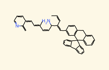 C=c1nccc/c1=C/C=C(C)/C=C\C(N)C(/C=C\C)=C/c1ccc2c(c1)C1(c3ccccc3C2)c2ccccc2-c2ccccc21